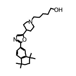 CC1(C)CCC(C)(C)c2cc(-c3ncc(C4CCN(CCCCCO)CC4)o3)ccc21